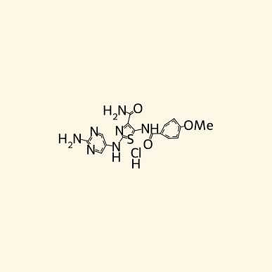 COc1ccc(C(=O)Nc2sc(Nc3cnc(N)nc3)nc2C(N)=O)cc1.Cl